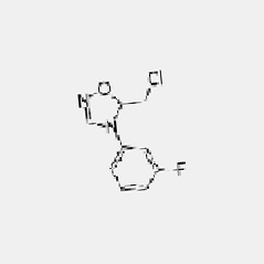 Fc1cccc(N2C=NOC2CCl)c1